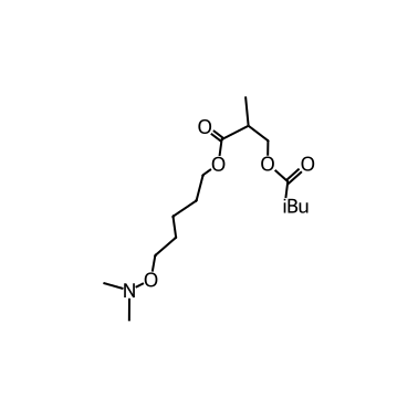 CCC(C)C(=O)OCC(C)C(=O)OCCCCCON(C)C